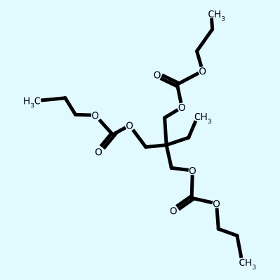 CCCOC(=O)OCC(CC)(COC(=O)OCCC)COC(=O)OCCC